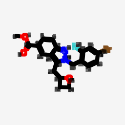 COC(=O)c1ccc2nn(Cc3ccc(Br)cc3F)c(CC3CCO3)c2c1